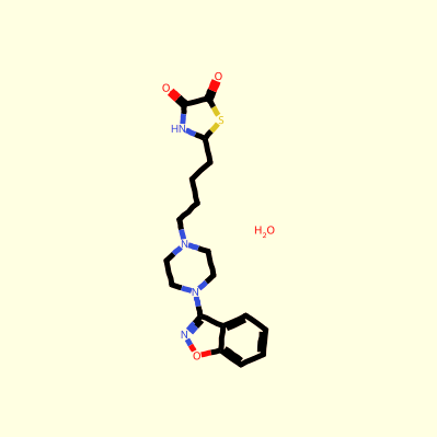 O.O=C1NC(CCCCN2CCN(c3noc4ccccc34)CC2)SC1=O